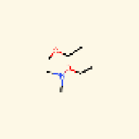 CCOC.CCON(C)C